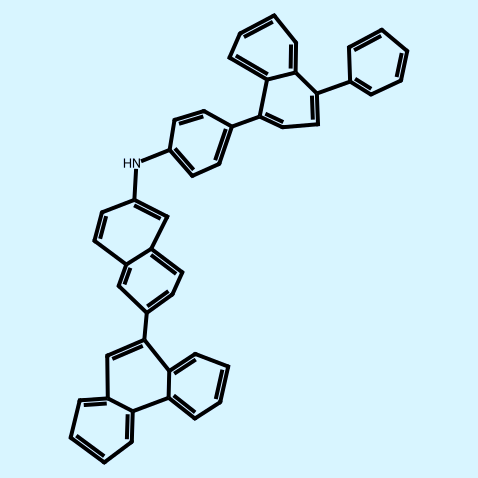 c1ccc(-c2ccc(-c3ccc(Nc4ccc5cc(-c6cc7ccccc7c7ccccc67)ccc5c4)cc3)c3ccccc23)cc1